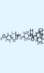 Cc1ccc2c(c1)CCN(CCC1CCC(NC(=O)c3cc(C)nc4ccccc34)CC1)CC2